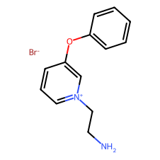 NCC[n+]1cccc(Oc2ccccc2)c1.[Br-]